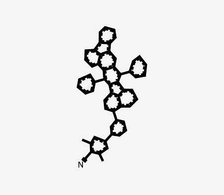 Cc1cc(-c2cccc(-c3ccc4c5c(-c6ccccc6)c6c(cc7c8ccccc8c8cccc6c87)c(-c6ccccc6)c5c5cccc3c54)c2)cc(C)c1C#N